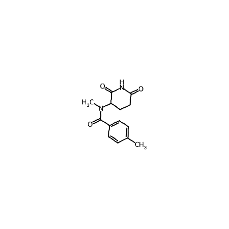 Cc1ccc(C(=O)N(C)C2CCC(=O)NC2=O)cc1